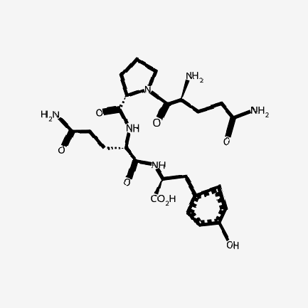 NC(=O)CC[C@H](NC(=O)[C@@H]1CCCN1C(=O)[C@@H](N)CCC(N)=O)C(=O)N[C@@H](Cc1ccc(O)cc1)C(=O)O